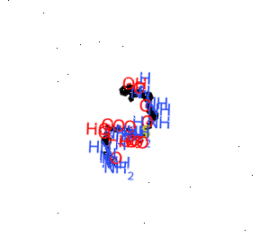 CCC1CN(C(=O)c2cc3cc(NC(=O)c4cc5cc(NC(=O)CCSSCC(NC(=O)C(CC(=O)O)NC(=O)C(N)CNC(=O)CCC(NC(=O)c6ccc(NCc7cnc8nc(N)[nH]c(=O)c8n7)cc6)C(=O)O)C(=O)O)ccc5[nH]4)ccc3[nH]2)c2cc(O)c3ccccc3c21